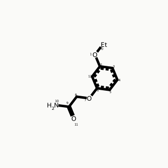 CCOc1cccc(OCC(N)=O)c1